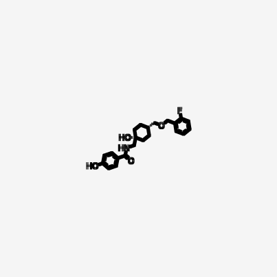 O=C(NC[C@]1(O)CC[C@@H](COCc2ccccc2F)CC1)c1ccc(O)cc1